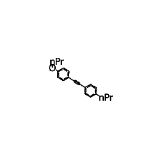 CCCOc1ccc(C#Cc2ccc(CCC)cc2)cc1